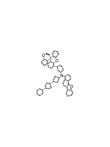 c1ccc(-c2ccc(-c3ccc(N(c4cccc(-c5cccc6c5Oc5ccccc5C65c6ccccc6Oc6ccccc65)c4)c4cccc5c4ccc4c6ccccc6oc54)cc3)cc2)cc1